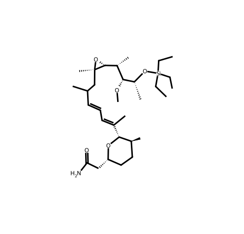 CC[Si](CC)(CC)O[C@H](C)[C@H](OC)[C@@H](C)[C@H]1O[C@]1(C)CC(C)/C=C/C=C(\C)[C@H]1O[C@@H](CC(N)=O)CC[C@@H]1C